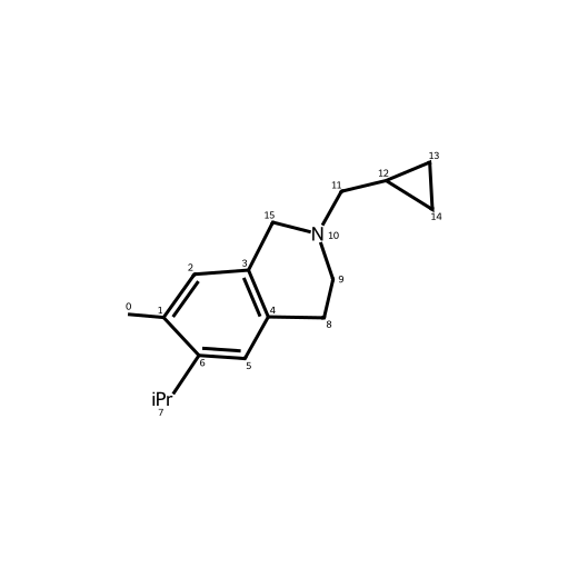 Cc1cc2c(cc1C(C)C)CCN(CC1CC1)C2